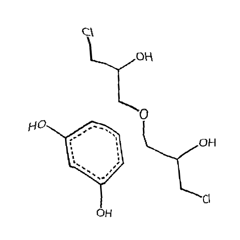 OC(CCl)COCC(O)CCl.Oc1cccc(O)c1